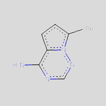 CC(C)(C)c1ccc2c(N)ncnn12